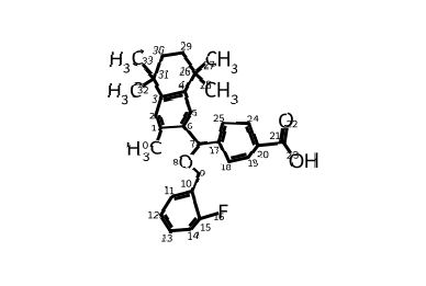 Cc1cc2c(cc1C(OCc1ccccc1F)c1ccc(C(=O)O)cc1)C(C)(C)CCC2(C)C